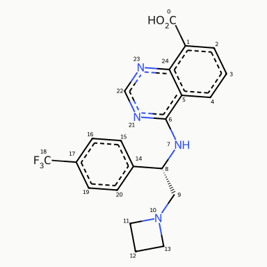 O=C(O)c1cccc2c(N[C@H](CN3CCC3)c3ccc(C(F)(F)F)cc3)ncnc12